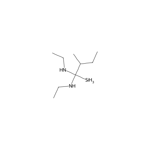 CCNC([SiH3])(NCC)C(C)CC